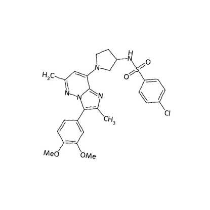 COc1ccc(-c2c(C)nc3c(N4CCC(NS(=O)(=O)c5ccc(Cl)cc5)C4)cc(C)nn23)cc1OC